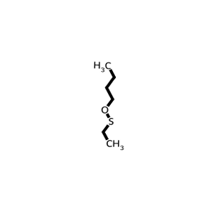 CCCCOSCC